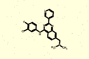 CN(C)Cc1ccc2c(Nc3ccc(F)c(Cl)c3)nc(-c3cccnc3)nc2c1